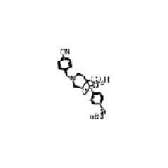 CCCCOc1ccc(S(=O)(=O)C2(C(=O)O)CCN(Cc3ccc(C#N)cc3)CC2)cc1